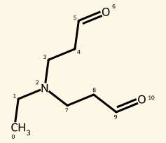 CCN(CCC=O)CCC=O